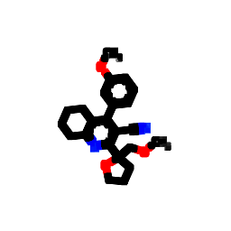 COCC1(c2nc3c(c(-c4cccc(OC)c4)c2C#N)CCCC3)CCCO1